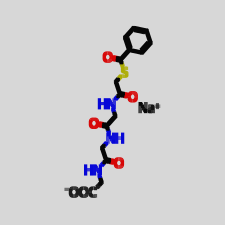 O=C([O-])CNC(=O)CNC(=O)CNC(=O)CSC(=O)c1ccccc1.[Na+]